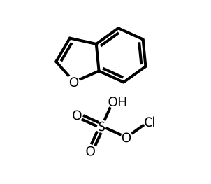 O=S(=O)(O)OCl.c1ccc2occc2c1